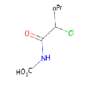 CCCC(Cl)C(=O)NC(=O)O